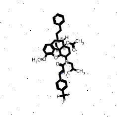 COc1ccc2c3c1OC1C(N(CC(C)C)C(=O)/C=C/c4ccc(C(F)(F)F)cc4)CC[C@@]4(OC(C)=O)[C@@H](C2)N(CCc2ccccc2)CC[C@]314